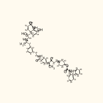 C[C@H](Cc1cccc(CCNC(=O)c2ccc(N(C)C(=O)CCN3CCC(OC(=O)Nc4ccccc4-c4ccccc4)CC3)cc2)c1)NC[C@@H](O)c1ccc(O)c2[nH]c(=O)ccc12